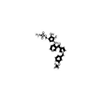 NS(=O)(=O)OC[C@H]1C[C@@H](Nc2ccncc2C(=O)c2ccn(Cc3cccc(OC(F)(F)F)c3)c2)[C@@H](F)[C@@H]1O